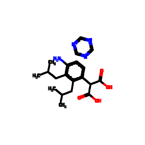 CC(C)Cc1c(N)ccc(C(C(=O)O)C(=O)O)c1CC(C)C.c1ncncn1